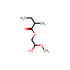 CCC(C)C(=O)OCC(O)OC